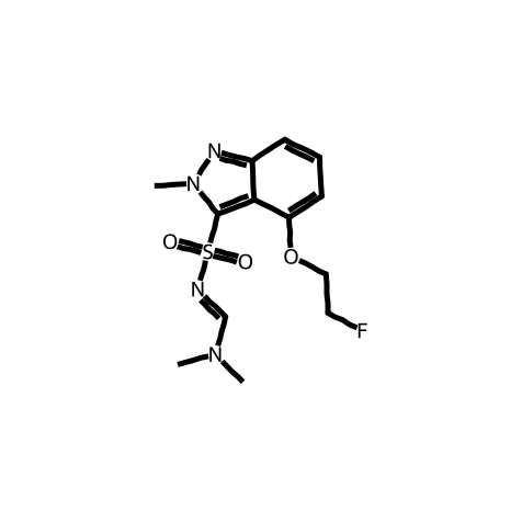 CN(C)C=NS(=O)(=O)c1c2c(OCCF)cccc2nn1C